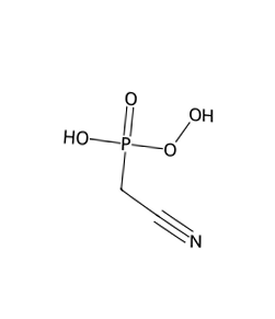 N#CCP(=O)(O)OO